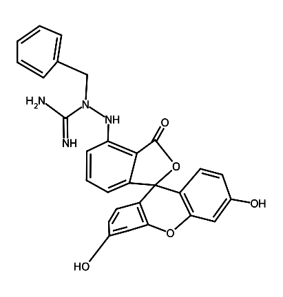 N=C(N)N(Cc1ccccc1)Nc1cccc2c1C(=O)OC21c2ccc(O)cc2Oc2cc(O)ccc21